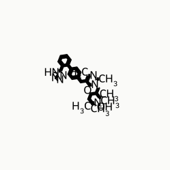 Cc1nc(C)n(CC2CCC(C)(C)N(O)C2(C)C)c(=O)c1Cc1ccc(-c2ccccc2-c2nnn[nH]2)cc1